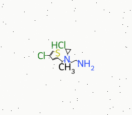 CC(c1cc(Cl)cs1)N(CCN)C1CC1.Cl